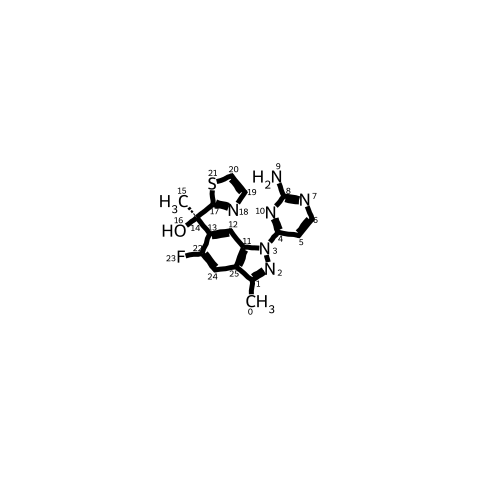 Cc1nn(-c2ccnc(N)n2)c2cc([C@@](C)(O)c3nccs3)c(F)cc12